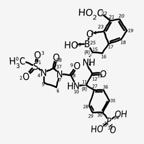 CS(=O)(=O)N1CCN(C(=O)N[C@@H](C(=O)N[C@H]2Cc3cccc(C(=O)O)c3OB2O)c2ccc(P(=O)(O)O)cc2)C1=O